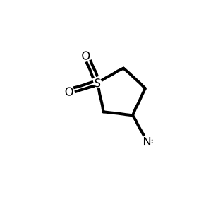 [N]C1CCS(=O)(=O)C1